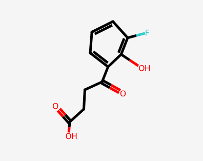 O=C(O)CCC(=O)c1cccc(F)c1O